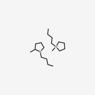 CCCCN1CCCC1C.CCCC[N+]1(C)CCCC1